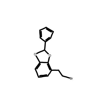 BrCCc1cccc2c1OC(c1ccccc1)O2